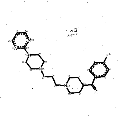 Cl.Cl.O=C(c1ccc(F)cc1)C1CCN(CCCN2CCN(c3ncccn3)CC2)CC1